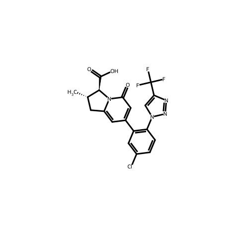 C[C@H]1Cc2cc(-c3cc(Cl)ccc3-n3cc(C(F)(F)F)nn3)cc(=O)n2[C@@H]1C(=O)O